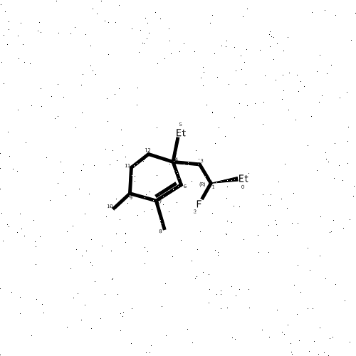 CC[C@@H](F)CC1(CC)C=C(C)C(C)CC1